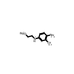 COCCNc1ccc(N)c(C(F)(F)F)c1